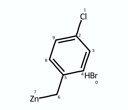 Br.Clc1ccc([CH2][Zn])cc1